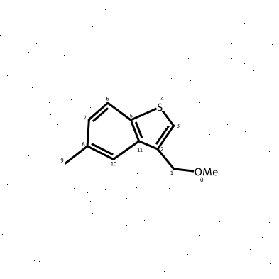 [CH2]OCc1csc2ccc(C)cc12